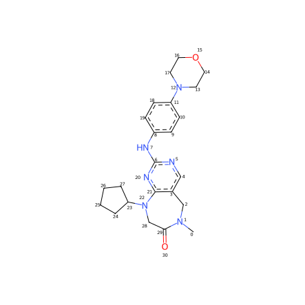 CN1Cc2cnc(Nc3ccc(N4CCOCC4)cc3)nc2N(C2CCCC2)CC1=O